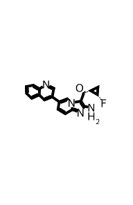 Nc1nc2ccc(-c3cnc4ccccc4c3)cn2c1C(=O)[C@@H]1C[C@@H]1F